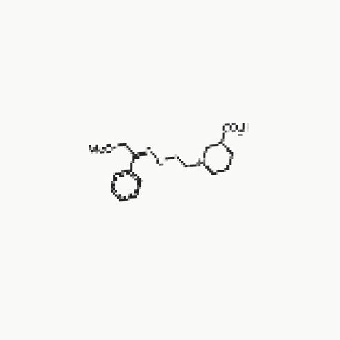 COCC(=NOCCN1CCCC(C(=O)O)C1)c1ccccc1